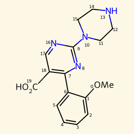 COc1ccccc1-c1nc(N2CCNCC2)ncc1C(=O)O